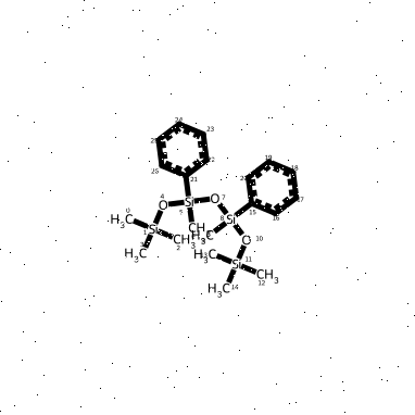 C[Si](C)(C)O[Si](C)(O[Si](C)(O[Si](C)(C)C)c1ccccc1)c1ccccc1